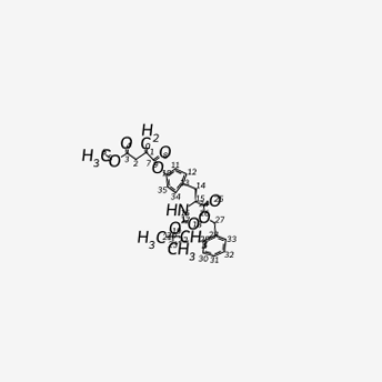 C=C(CC(=O)OC)C(=O)Oc1ccc(C[C@H](NC(=O)OC(C)(C)C)C(=O)OCc2ccccc2)cc1